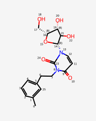 Cc1cccc(CCn2c(=O)ccn([C@@H]3O[C@H](CO)[C@H](O)C3O)c2=O)c1